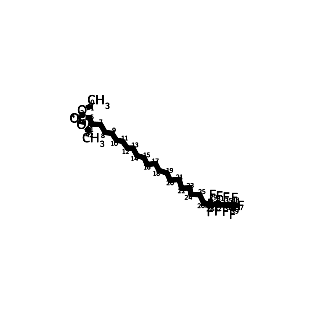 CCOP(=O)(CCCCCCCCCCCCCCCCCCCCCCC(F)(F)C(F)(F)C(F)(F)C(F)(F)F)OCC